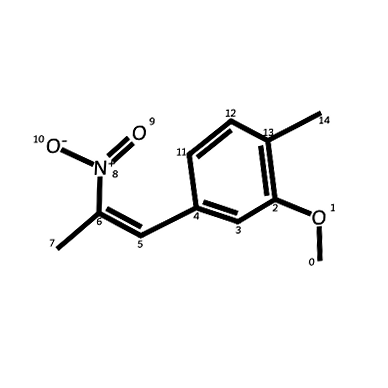 COc1cc(C=C(C)[N+](=O)[O-])ccc1C